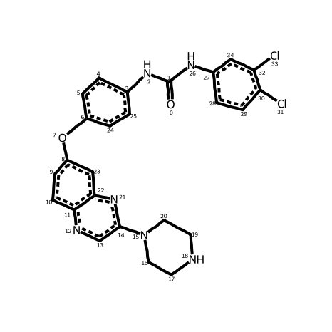 O=C(Nc1ccc(Oc2ccc3ncc(N4CCNCC4)nc3c2)cc1)Nc1ccc(Cl)c(Cl)c1